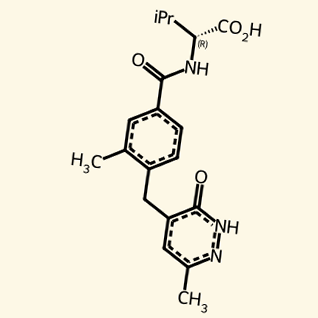 Cc1cc(Cc2ccc(C(=O)N[C@@H](C(=O)O)C(C)C)cc2C)c(=O)[nH]n1